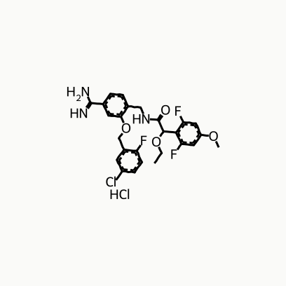 CCOC(C(=O)NCc1ccc(C(=N)N)cc1OCc1cc(Cl)ccc1F)c1c(F)cc(OC)cc1F.Cl